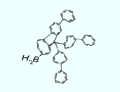 Bc1ccc2c(c1)C(c1ccc(-c3ccccc3)cc1)(c1ccc(-c3ccccc3)cc1)c1cc(-c3ccccc3)ccc1-2